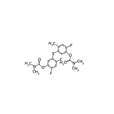 Cc1cc(F)c(OC(=O)N(C)C)cc1Sc1cc(OC(=O)N(C)C)c(F)cc1C